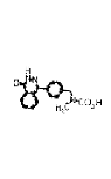 CN(Cc1ccc(-c2n[nH]c(=O)c3ccccc23)cc1)C(=O)O